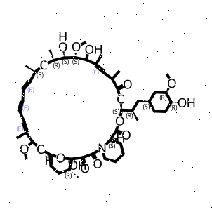 COC1C[C@@H]2CC[C@@H](C)[C@@](O)(O2)C(=O)C(=O)N2CCCC[C@H]2C(=O)O[C@H]([C@H](C)C[C@@H]2CC[C@@H](O)[C@H](OC)C2)CC(=O)C(C)/C=C(\C)C(O)[C@@H](OC)[C@@H](O)[C@H](C)C[C@H](C)/C=C/C=C/C=C/1C